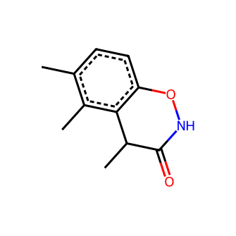 Cc1ccc2c(c1C)C(C)C(=O)NO2